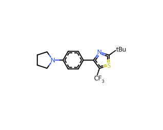 CC(C)(C)c1nc(-c2ccc(N3CCCC3)cc2)c(C(F)(F)F)s1